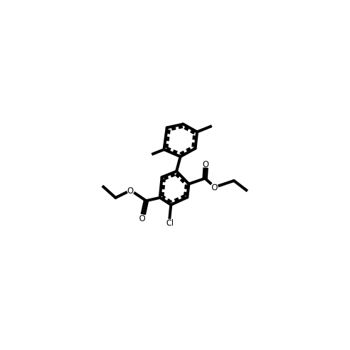 CCOC(=O)c1cc(-c2cc(C)ccc2C)c(C(=O)OCC)cc1Cl